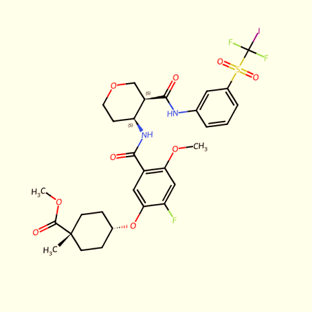 COc1cc(F)c(O[C@H]2CC[C@@](C)(C(=O)OC)CC2)cc1C(=O)N[C@H]1CCOC[C@H]1C(=O)Nc1cccc(S(=O)(=O)C(F)(F)I)c1